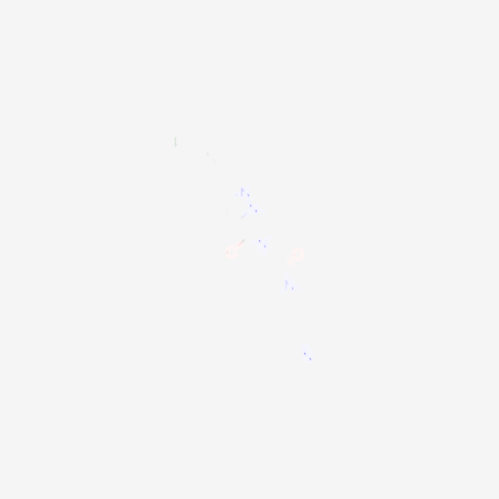 CCCCC1CN(CC(=O)N2CCC(C#N)CC2)C(=O)c2cc(-c3ccc(Cl)cc3)nn21